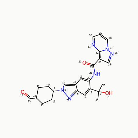 CC(C)(O)c1cc2nn([C@H]3CC[C@H](C=O)CC3)cc2cc1NC(=O)c1cnn2cccnc12